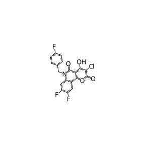 O=c1oc2c(c(O)c1Cl)c(=O)n(Cc1ccc(F)cc1)c1cc(F)c(F)cc21